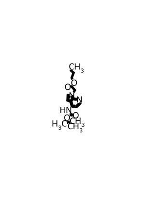 CCCCOC(=O)Cn1ccc2c(NC(=O)OC(C)(C)C)ccnc21